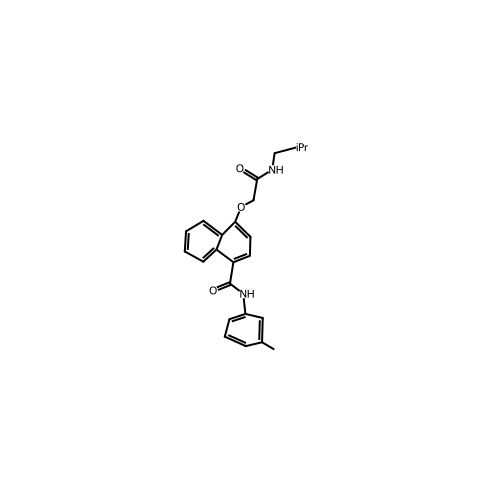 Cc1cccc(NC(=O)c2ccc(OCC(=O)NCC(C)C)c3ccccc23)c1